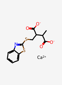 CC(C(=O)[O-])C(CSc1nc2ccccc2s1)C(=O)[O-].[Ca+2]